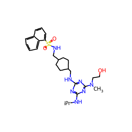 CC(C)Nc1nc(NCC2CCC(CNS(=O)(=O)c3cccc4ccccc34)CC2)nc(N(C)CCO)n1